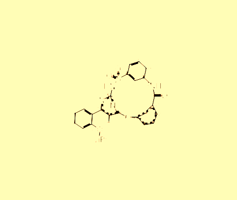 CCc1c2nc(nc1C1=CCCC=C1OC(C)C)NS(=O)(=O)C1=CC(CC=C1)NC(=O)c1cccc(c1)O2